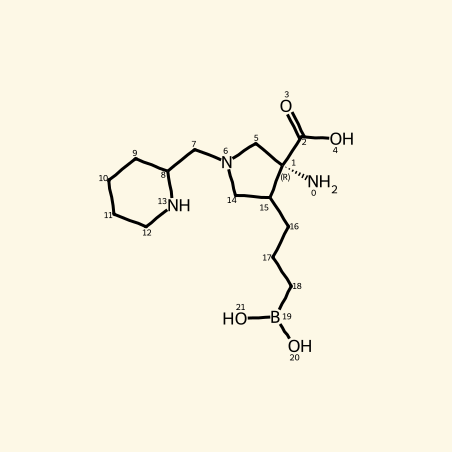 N[C@@]1(C(=O)O)CN(CC2CCCCN2)CC1CCCB(O)O